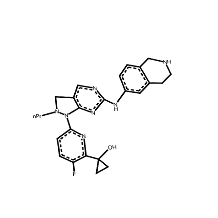 CCCN1Cc2cnc(Nc3ccc4c(c3)CCNC4)nc2N1c1ccc(F)c(C2(O)CC2)n1